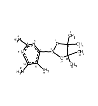 CC1(C)OB(c2nc(N)nc(N)c2N)OC1(C)C